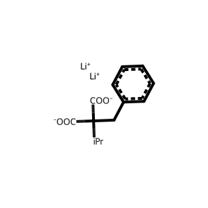 CC(C)C(Cc1ccccc1)(C(=O)[O-])C(=O)[O-].[Li+].[Li+]